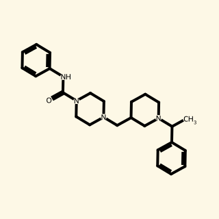 CC(c1ccccc1)N1CCCC(CN2CCN(C(=O)Nc3ccccc3)CC2)C1